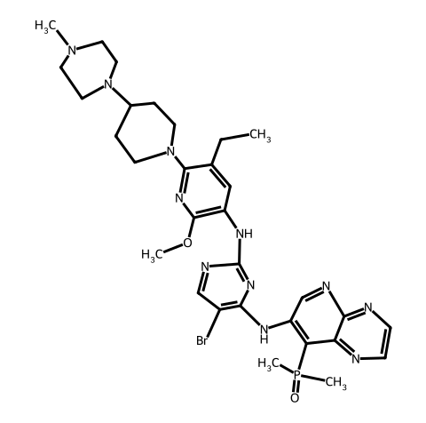 CCc1cc(Nc2ncc(Br)c(Nc3cnc4nccnc4c3P(C)(C)=O)n2)c(OC)nc1N1CCC(N2CCN(C)CC2)CC1